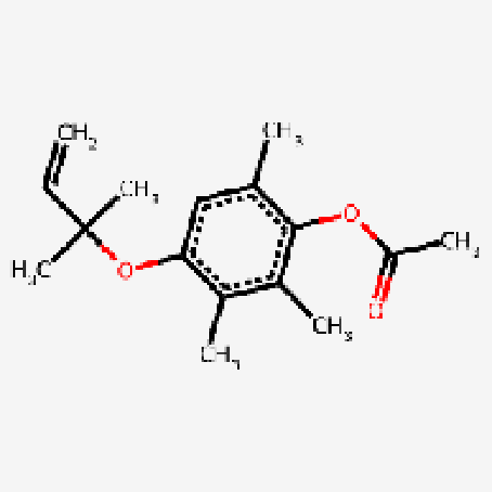 C=CC(C)(C)Oc1cc(C)c(OC(C)=O)c(C)c1C